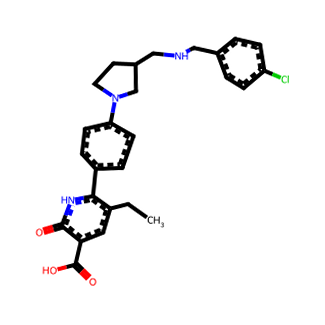 CCc1cc(C(=O)O)c(=O)[nH]c1-c1ccc(N2CCC(CNCc3ccc(Cl)cc3)C2)cc1